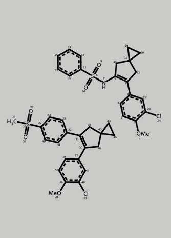 COc1ccc(C2=C(NS(=O)(=O)c3ccccc3)CC3(CC3)C2)cc1Cl.COc1ccc(C2=C(c3ccc(S(C)(=O)=O)cc3)CC3(CC3)C2)cc1Cl